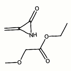 C=C1NC1=O.CCOC(=O)COC